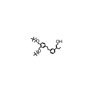 CCC(=CCO)c1cccc(CCc2ccc(CO[Si](C)(C)C(C)(C)C)c(CO[Si](C)(C)C(C)(C)C)c2)c1